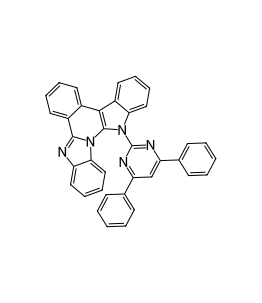 c1ccc(-c2cc(-c3ccccc3)nc(-n3c4ccccc4c4c5ccccc5c5nc6ccccc6n5c43)n2)cc1